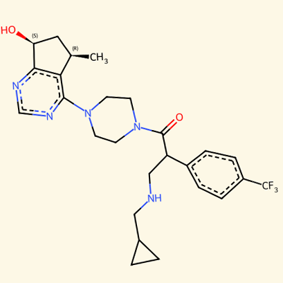 C[C@@H]1C[C@H](O)c2ncnc(N3CCN(C(=O)C(CNCC4CC4)c4ccc(C(F)(F)F)cc4)CC3)c21